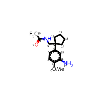 COc1ccc(C2(CNC(=O)C(F)(F)F)CCCC2)cc1N